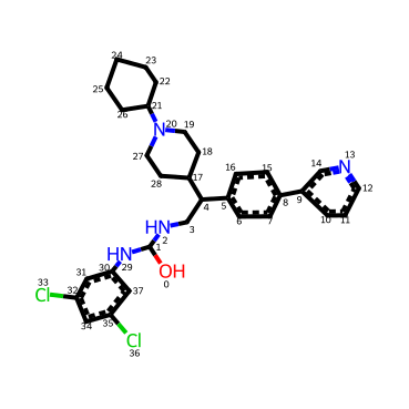 OC(NCC(c1ccc(-c2cccnc2)cc1)C1CCN(C2CCCCC2)CC1)Nc1cc(Cl)cc(Cl)c1